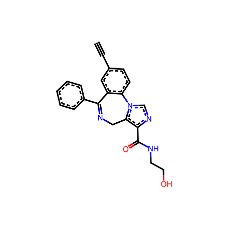 C#Cc1ccc2c(c1)C(c1ccccc1)=NCc1c(C(=O)NCCO)ncn1-2